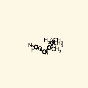 Cc1cc(-c2cc(COc3ccc(C#N)c(F)c3)ccn2)ccc1C(=O)OC(C)(C)C